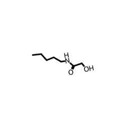 CCCCCNC(=O)CO